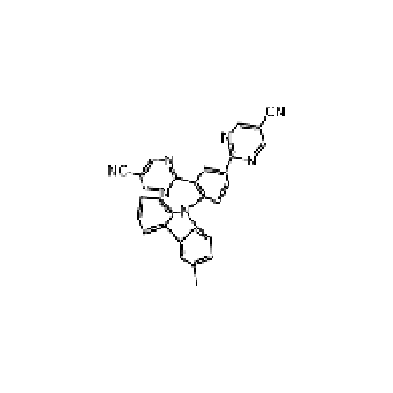 Cc1ccc2c(c1)c1ccccc1n2-c1ccc(-c2ncc(C#N)cn2)cc1-c1ncc(C#N)cn1